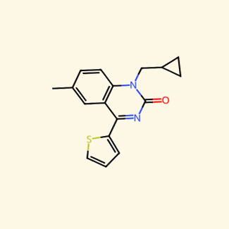 Cc1ccc2c(c1)c(-c1cccs1)nc(=O)n2CC1CC1